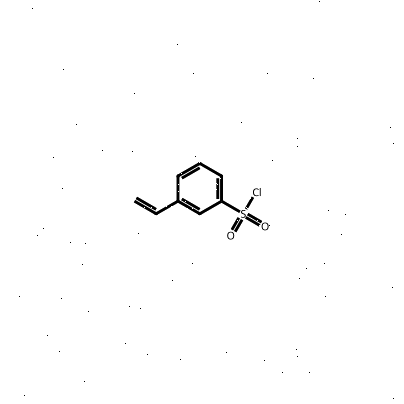 C=Cc1cccc(S(=O)(=O)Cl)c1